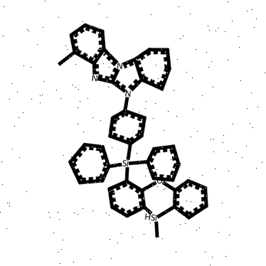 Cc1cccc2c1nc1n(-c3ccc([Si](c4ccccc4)(c4ccccc4)c4cccc5c4Oc4ccccc4[SiH]5C)cc3)c3ccccc3n21